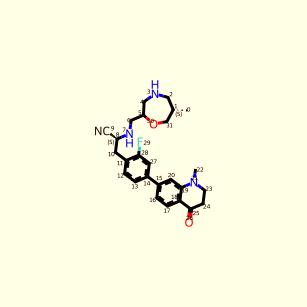 C[C@H]1CNCC(CN[C@H](C#N)Cc2ccc(-c3ccc4c(c3)N(C)CCC4=O)cc2F)OC1